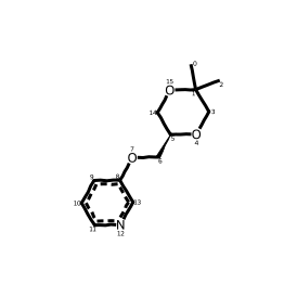 CC1(C)CO[C@@H](COc2cccnc2)CO1